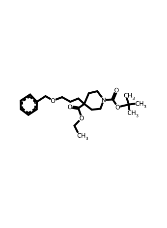 CCOC(=O)C1(CCCOCc2ccccc2)CCN(C(=O)OC(C)(C)C)CC1